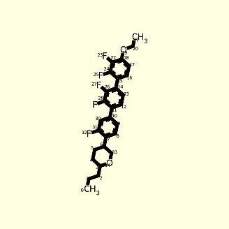 CCCC1CCC(c2ccc(-c3ccc(-c4ccc(OCC)c(F)c4F)c(F)c3F)cc2F)CO1